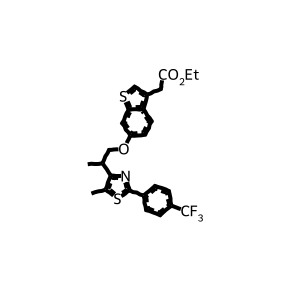 CCOC(=O)Cc1csc2cc(OCC(C)c3nc(-c4ccc(C(F)(F)F)cc4)sc3C)ccc12